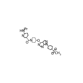 CC(C)Nc1ccc(C(=O)N2CCC(Oc3ncnc4c3cnn4-c3ccc(S(C)(=O)=O)cc3)CC2)cn1